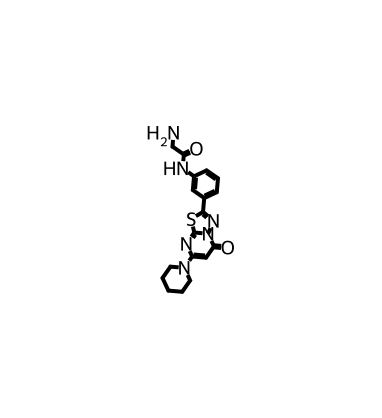 NCC(=O)Nc1cccc(-c2nn3c(=O)cc(N4CCCCC4)nc3s2)c1